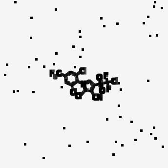 N#Cc1c(S(=O)(=O)C(F)(F)Cl)cn(-c2c(Cl)cc(C(F)(F)F)cc2Cl)c1Cl